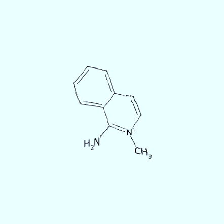 C[n+]1ccc2ccccc2c1N